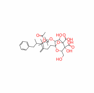 C=C(CCC12OC(CO)C(O)(C(=O)O)C(C(=O)O)(O1)C(O)C2O[Si](C)(C)C(C)(C)C)C(OC(C)=O)C(C)Cc1ccccc1